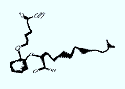 CCCCCCCCCCC(Oc1ccccc1OCCCC(=O)O)C(=O)O